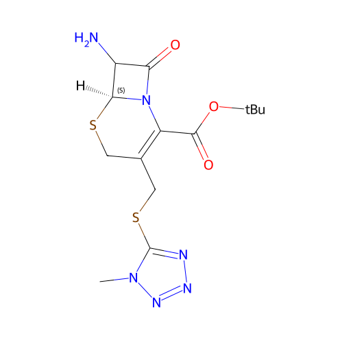 Cn1nnnc1SCC1=C(C(=O)OC(C)(C)C)N2C(=O)C(N)[C@@H]2SC1